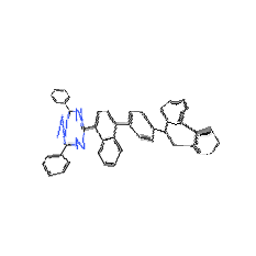 c1ccc(-c2nc(-c3ccccc3)nc(-c3ccc(-c4ccc(-c5cc6ccccc6c6ccccc56)cc4)c4ccccc34)n2)cc1